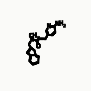 CN(CC1=Cc2ccccc2C1)C(=O)C=Cc1ccc(N)nc1